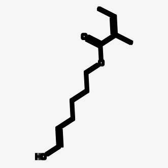 CC=C(C)C(=O)OCCCCC=CO